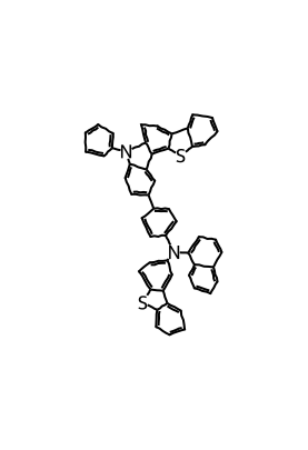 c1ccc(-n2c3ccc(-c4ccc(N(c5ccc6sc7ccccc7c6c5)c5cccc6ccccc56)cc4)cc3c3c4sc5ccccc5c4ccc32)cc1